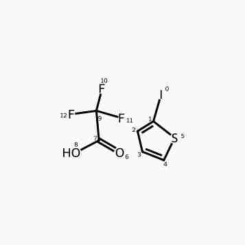 Ic1cccs1.O=C(O)C(F)(F)F